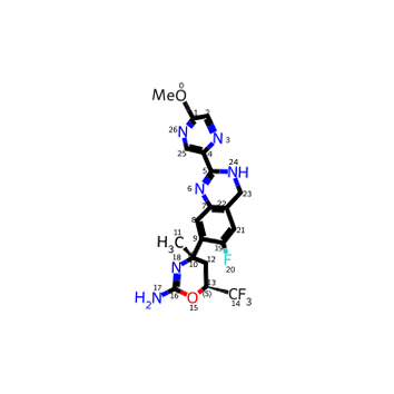 COc1cnc(C2=Nc3cc([C@]4(C)C[C@@H](C(F)(F)F)OC(N)=N4)c(F)cc3CN2)cn1